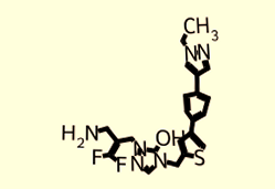 CCn1cc(-c2ccc(-c3csc(CN4C=NN(CC(CN)=C(F)F)C4O)c3)cc2)cn1